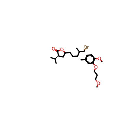 COCCCOc1cc(C[C@H](CCC2C[C@@H](C(C)C)C(=O)O2)C(C)CBr)ccc1OC